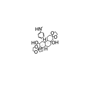 CNc1ccc([C@@H]2[C@H]3[C@@H](CC[C@@]4(O)CC5(CC[C@]34C)OCCO5)[C@@H]3CCC4(OCCO4)[C@@]3(C)[C@H]2O)cc1